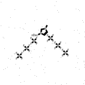 CCCCCCCCCCN1C=CN(C)C1.F[B-](F)(F)F.F[B-](F)(F)F.F[B-](F)(F)F.F[B-](F)(F)F.F[B-](F)(F)F.F[B-](F)(F)F